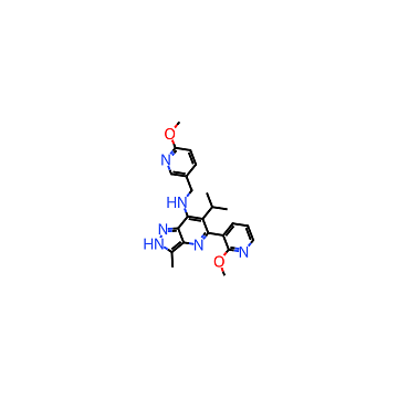 COc1ccc(CNc2c(C(C)C)c(-c3cccnc3OC)nc3c(C)[nH]nc23)cn1